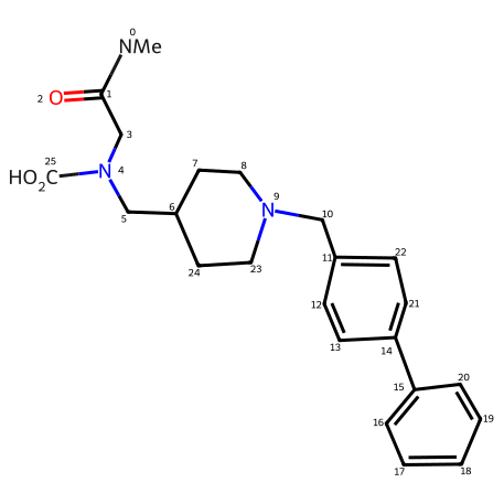 CNC(=O)CN(CC1CCN(Cc2ccc(-c3ccccc3)cc2)CC1)C(=O)O